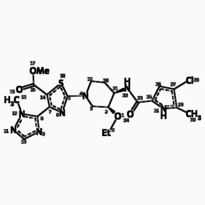 CCO[C@H]1CN(c2nc(-c3ncnn3C)c(C(=O)OC)s2)CC[C@H]1NC(=O)c1cc(Cl)c(C)[nH]1